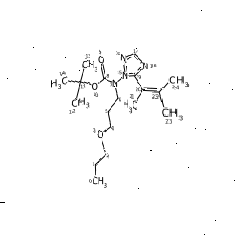 CCCOCCCN(C(=O)OC(C)(C)C)n1ncnc1C(C)=C(C)C